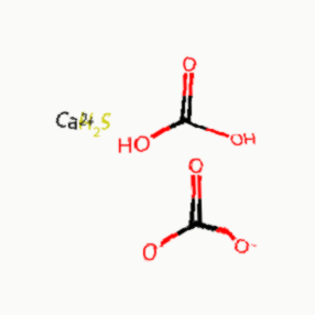 O=C(O)O.O=C([O-])[O-].S.[Ca+2]